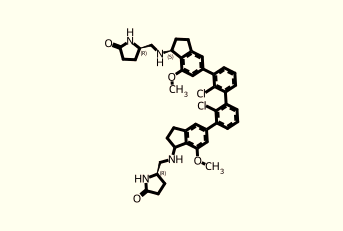 COc1cc(-c2cccc(-c3cccc(-c4cc5c(c(OC)c4)[C@@H](NC[C@H]4CCC(=O)N4)CC5)c3Cl)c2Cl)cc2c1C(NC[C@H]1CCC(=O)N1)CC2